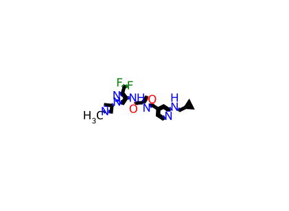 CN1CC(n2cc(NC(=O)c3coc(-c4ccnc(NCC5CC5)c4)n3)c(C(F)F)n2)C1